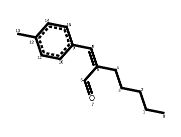 CCCCCC(C=O)=Cc1ccc(C)cc1